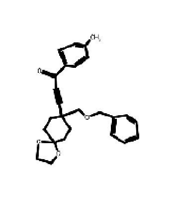 Cc1ccc(C(=O)C#CC2(COCc3ccccc3)CCC3(CC2)OCCO3)cc1